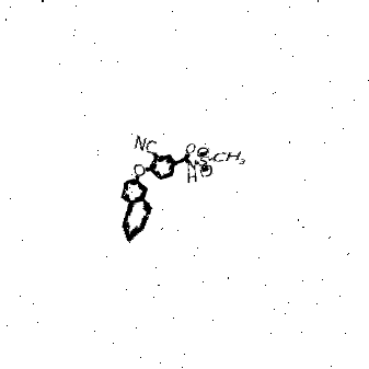 CS(=O)(=O)NC(=O)c1ccc(Oc2ccc3ccccc3c2)c(C#N)c1